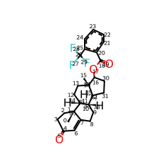 C[C@]12CCC(=O)C=C1CC[C@@H]1[C@H]2CC[C@]2(C)C(OC(=O)c3ccccc3C(F)(F)F)CC[C@@H]12